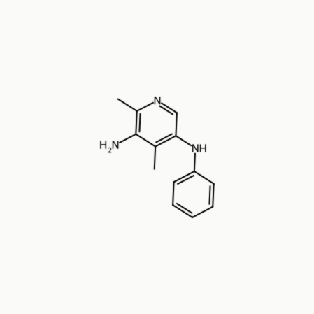 Cc1ncc(Nc2ccccc2)c(C)c1N